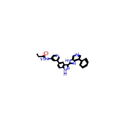 CCC(=O)Nc1cncc(-c2ccc3[nH]nc(-c4nc5c(-c6ccccc6)cncc5[nH]4)c3c2)c1